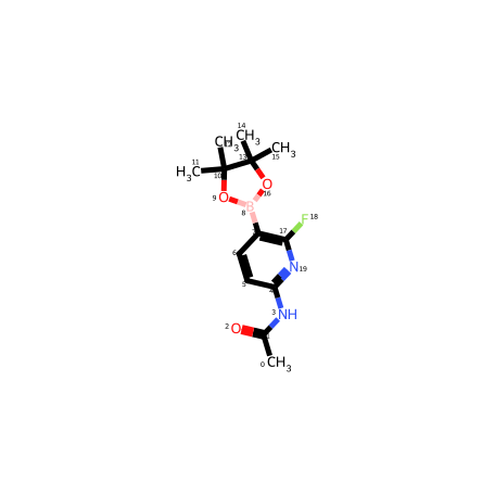 CC(=O)Nc1ccc(B2OC(C)(C)C(C)(C)O2)c(F)n1